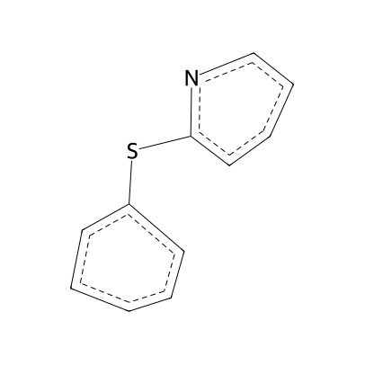 c1ccc(Sc2ccccn2)cc1